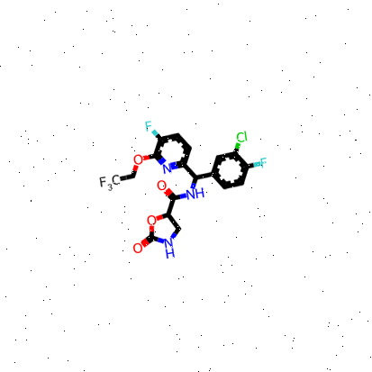 O=C1NCC(C(=O)NC(c2ccc(F)c(Cl)c2)c2ccc(F)c(OCC(F)(F)F)n2)O1